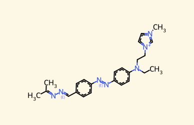 CCN(CC[n+]1ccn(C)c1)c1ccc(/N=N/c2ccc(/C=N/N=C(C)C)cc2)cc1